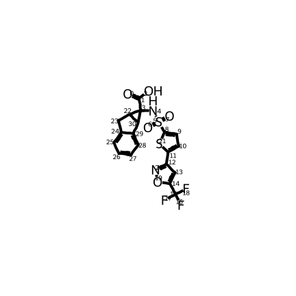 O=C(O)C1(NS(=O)(=O)c2ccc(-c3cc(C(F)(F)F)on3)s2)C2Cc3ccccc3C21